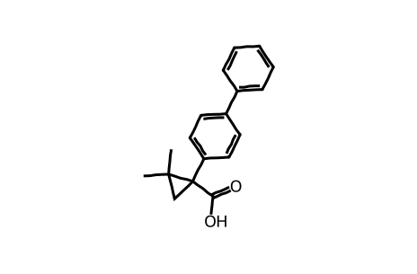 CC1(C)CC1(C(=O)O)c1ccc(-c2ccccc2)cc1